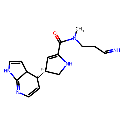 CN(CCC=N)C(=O)C1=C[C@@H](C2C=CN=C3NC=CC32)CN1